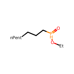 CCCCCCCC[PH](=O)OCC